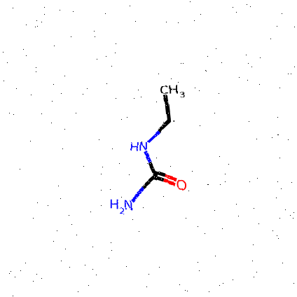 C[CH]NC(N)=O